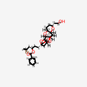 C=C(Br)C[C@@H](CC[C@@]12C[C@H]3O[C@H]4[C@@H](O1)[C@H]1O[C@@H](CCO)CC[C@@H]1O[C@H]4[C@H]3O2)OC(=O)c1ccccc1